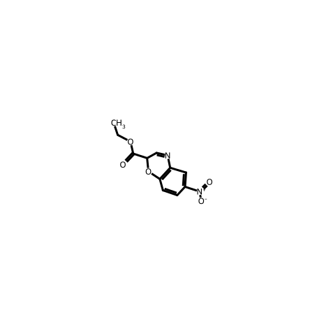 CCOC(=O)C1C=Nc2cc([N+](=O)[O-])ccc2O1